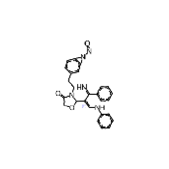 N=C(/C(=C\Nc1ccccc1)C1OCC(=O)N1CCc1ccc2c(c1)N2N=O)c1ccccc1